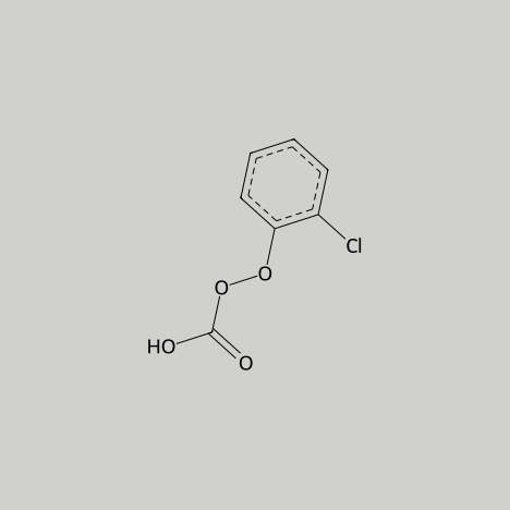 O=C(O)OOc1ccccc1Cl